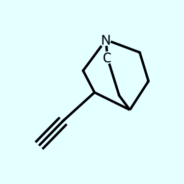 C#CC1CN2CCC1CC2